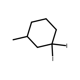 CC1CCCC(I)(I)C1